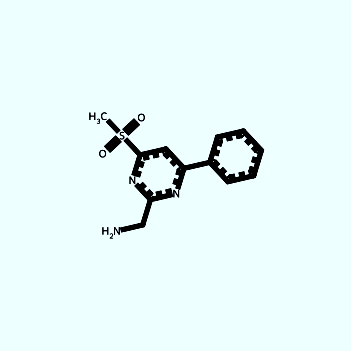 CS(=O)(=O)c1cc(-c2ccccc2)nc(CN)n1